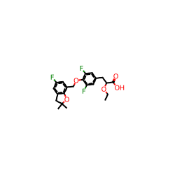 CCOC(Cc1cc(F)c(OCc2cc(F)cc3c2OC(C)(C)C3)c(F)c1)C(=O)O